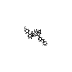 Fc1ccc(-c2ccnc3[nH]c(-c4n[nH]c5ncc(-c6cncc(CN7CCCCC7)c6)cc45)cc23)cc1